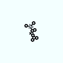 CC1(C)c2cc3c4ccccc4c4ccccc4c3cc2-c2c1cc(-c1nc(-c3ccccc3)nc(-c3ccccc3)n1)c1ccccc21